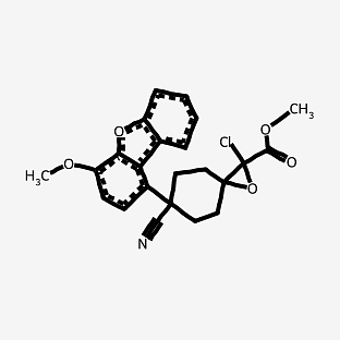 COC(=O)C1(Cl)OC12CCC(C#N)(c1ccc(OC)c3oc4ccccc4c13)CC2